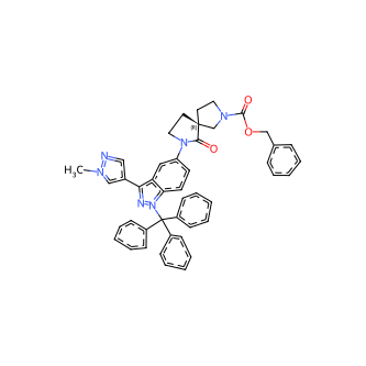 Cn1cc(-c2nn(C(c3ccccc3)(c3ccccc3)c3ccccc3)c3ccc(N4CC[C@]5(CCN(C(=O)OCc6ccccc6)C5)C4=O)cc23)cn1